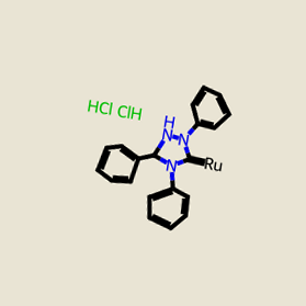 Cl.Cl.[Ru]=[C]1N(c2ccccc2)NC(c2ccccc2)N1c1ccccc1